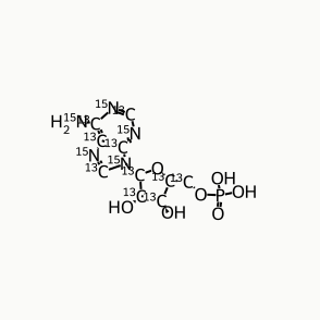 [15NH2][13c]1[15n][13cH][15n][13c]2[13c]1[15n][13cH][15n]2[13C@@H]1O[13C@H]([13CH2]OP(=O)(O)O)[13C@@H](O)[13C@H]1O